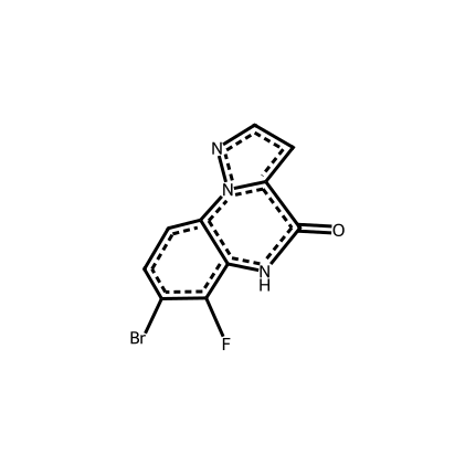 O=c1[nH]c2c(F)c(Br)ccc2n2nccc12